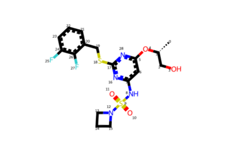 C[C@H](CO)Oc1cc(NS(=O)(=O)N2CCC2)nc(SCc2cccc(F)c2F)n1